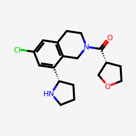 O=C([C@@H]1CCOC1)N1CCc2cc(Cl)cc([C@@H]3CCCN3)c2C1